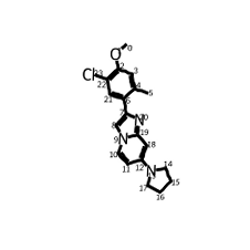 COc1cc(C)c(-c2cn3ccc(N4CCCC4)cc3n2)cc1Cl